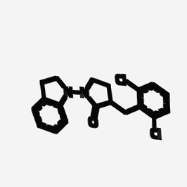 O=C1C(Cc2c(Cl)cccc2Cl)CCN1N1CCc2ccccc21